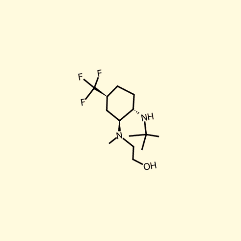 CN(CCO)[C@H]1C[C@@H](C(F)(F)F)CC[C@@H]1NC(C)(C)C